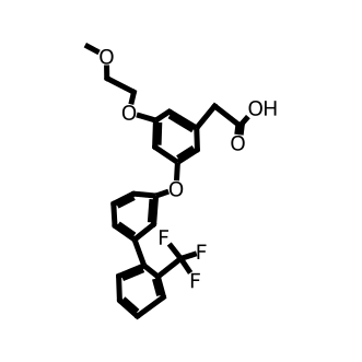 COCCOc1cc(CC(=O)O)cc(Oc2cccc(-c3ccccc3C(F)(F)F)c2)c1